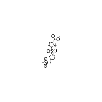 COC(=O)c1ccc(S(=O)(=O)N2CCC(OS(C)(=O)=O)C2)n1C